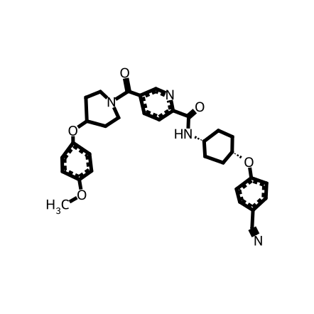 COc1ccc(OC2CCN(C(=O)c3ccc(C(=O)N[C@H]4CC[C@@H](Oc5ccc(C#N)cc5)CC4)nc3)CC2)cc1